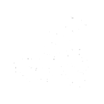 c1ccc2cc3c(cc2c1)oc1cc(-c2cc4cccc5ccc6cccc2c6c54)cc(-c2ccc4ccc5cccc6ccc2c4c56)c13